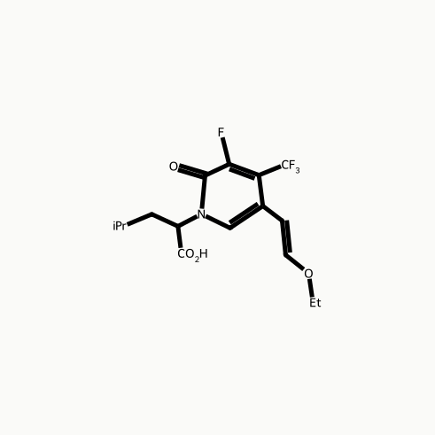 CCOC=Cc1cn(C(CC(C)C)C(=O)O)c(=O)c(F)c1C(F)(F)F